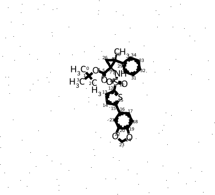 CC(C)(C)OC(=O)[C@]1(NS(=O)(=O)c2ccc(-c3ccc4c(c3)OCO4)s2)C[C@]1(C)c1ccccc1